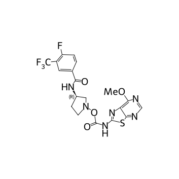 COc1ncnc2sc(NC(=O)ON3CC[C@@H](NC(=O)c4ccc(F)c(C(F)(F)F)c4)C3)nc12